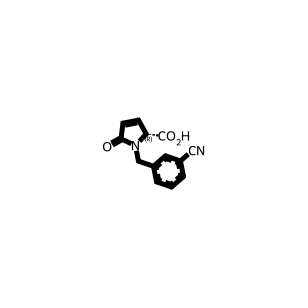 N#Cc1cccc(CN2C(=O)C=C[C@@H]2C(=O)O)c1